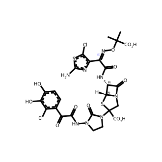 CC(C)(O/N=C(\C(=O)N[C@@H]1C(=O)N2CC(C(=O)O)(N3CCN(NC(=O)C(=O)c4ccc(O)c(O)c4Cl)C3=O)S[C@H]12)c1nc(N)sc1Cl)C(=O)O